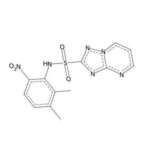 Cc1ccc([N+](=O)[O-])c(NS(=O)(=O)c2nc3ncccn3n2)c1C